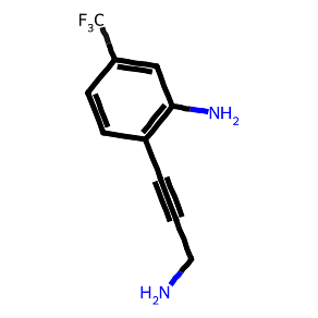 NCC#Cc1ccc(C(F)(F)F)cc1N